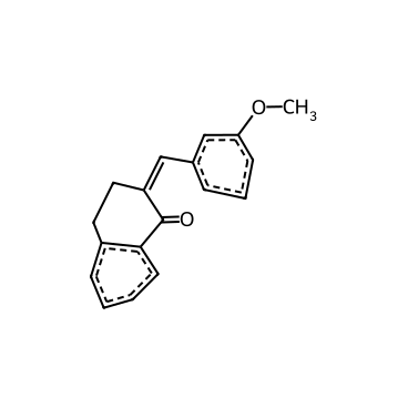 COc1cccc(C=C2CCc3ccccc3C2=O)c1